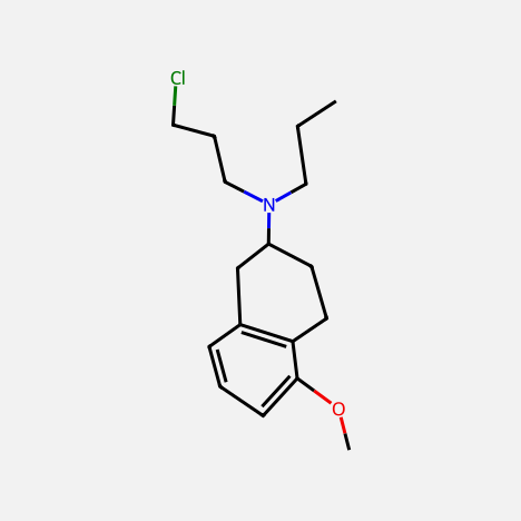 CCCN(CCCCl)C1CCc2c(cccc2OC)C1